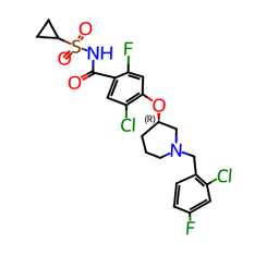 O=C(NS(=O)(=O)C1CC1)c1cc(Cl)c(O[C@@H]2CCCN(Cc3ccc(F)cc3Cl)C2)cc1F